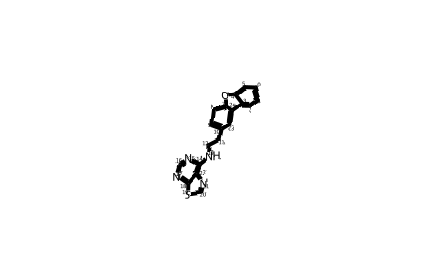 c1ccc2c(c1)oc1ccc(CCNc3ncnc4scnc34)cc12